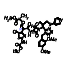 BOC(=O)[C@H](C)O/N=C(\C(=O)N[C@@H]1C(=O)N2C(c3nnnn3Cc3ccc(OC)cc3OC)=C(CSc3ccncc3)CO[C@H]12)c1nc(NC(=O)OC(C)(C)C)sc1Cl